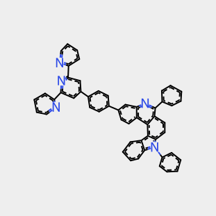 c1ccc(-c2nc3cc(-c4ccc(-c5cc(-c6ccccn6)nc(-c6ccccn6)c5)cc4)ccc3c3c2ccc2c3c3ccccc3n2-c2ccccc2)cc1